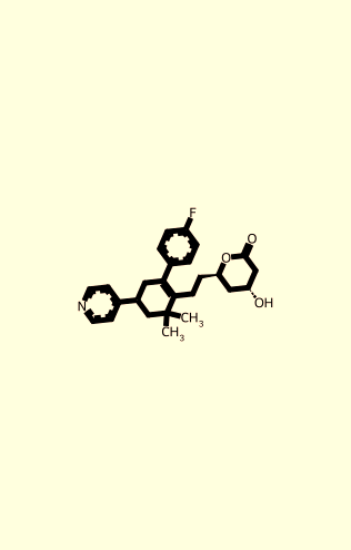 CC1(C)CC(c2ccncc2)CC(c2ccc(F)cc2)=C1CC[C@@H]1C[C@@H](O)CC(=O)O1